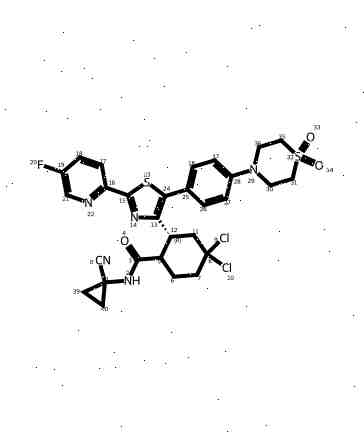 N#CC1(NC(=O)C2CCC(Cl)(Cl)C[C@H]2c2nc(-c3ccc(F)cn3)sc2-c2ccc(N3CCS(=O)(=O)CC3)cc2)CC1